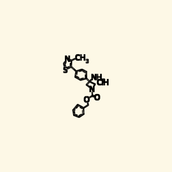 Cc1ncsc1-c1ccc(C2(N)CN(C(=O)OCc3ccccc3)C2)cc1.Cl